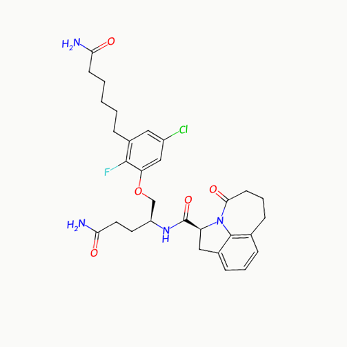 NC(=O)CCCCCc1cc(Cl)cc(OC[C@H](CCC(N)=O)NC(=O)[C@@H]2Cc3cccc4c3N2C(=O)CCC4)c1F